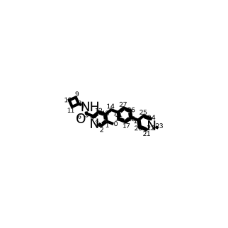 Cc1cnc(C(=O)NC2CCC2)cc1Cc1ccc(C2=C=CN(C)C=C2)cc1